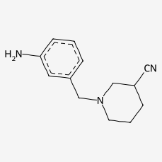 N#CC1CCCN(Cc2cccc(N)c2)C1